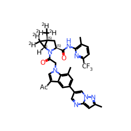 [2H]C([2H])([2H])[C@@]12C[C@@H](C(=O)Nc3nc(C(F)(F)F)ccc3C)N(C(=O)Cn3cc(C(C)=O)c4cc(-c5cnc6cc(C)nn6c5)cc(C)c43)[C@@H]1C2([2H])[2H]